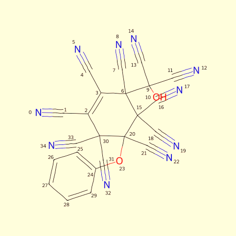 N#CC1=C(C#N)C(C#N)(C(O)(C#N)C#N)C(C#N)(C#N)C(C#N)(Oc2ccccc2)C1(C#N)C#N